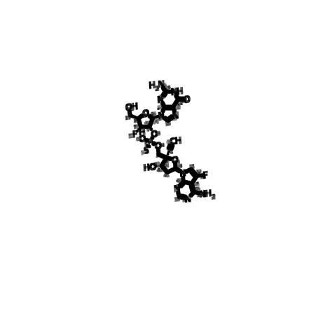 C#C[C@]1(COP(O)(=S)O[C@@H]2[C@H](F)[C@@H](CO)O[C@H]2n2cnc3c(=O)[nH]c(N)nc32)OC(n2cc(F)c3c(N)ncnc32)C[C@@H]1O